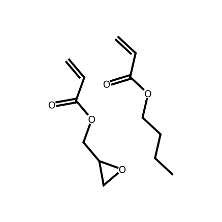 C=CC(=O)OCC1CO1.C=CC(=O)OCCCC